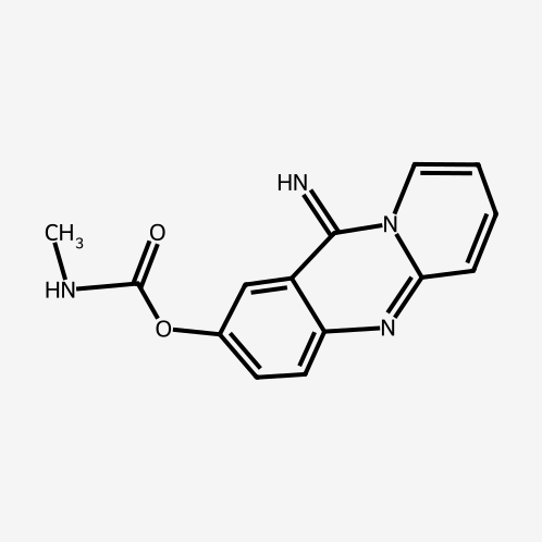 CNC(=O)Oc1ccc2nc3ccccn3c(=N)c2c1